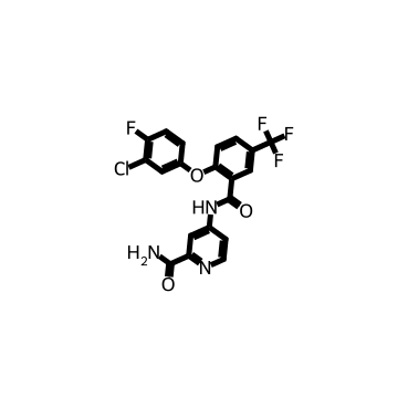 NC(=O)c1cc(NC(=O)c2cc(C(F)(F)F)ccc2Oc2ccc(F)c(Cl)c2)ccn1